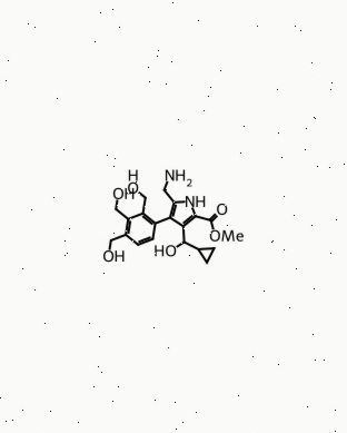 COC(=O)c1[nH]c(CN)c(-c2ccc(CO)c(CO)c2CO)c1C(O)C1CC1